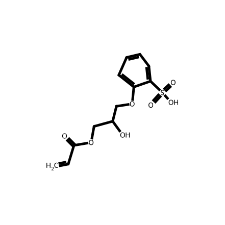 C=CC(=O)OCC(O)COc1ccccc1S(=O)(=O)O